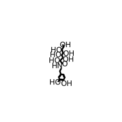 O=C(NCCc1ccc(O)c(O)c1)C(O)C(O)C(O)C(O)C(O)CO